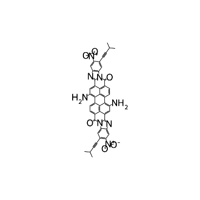 CC(C)C#Cc1cc2c(cc1[N+](=O)[O-])nc1c3cc(N)c4c5ccc6c(=O)n7c8cc(C#CC(C)C)c([N+](=O)[O-])cc8nc7c7cc(N)c(c8ccc(c(=O)n21)c3c84)c5c67